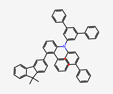 CC1(C)c2ccccc2-c2cc(-c3cccc(N(c4ccc(-c5ccccc5)cc4)c4cc(-c5ccccc5)cc(-c5ccccc5)c4)c3-c3ccccc3)ccc21